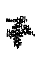 COc1cc(C)[nH]c(=O)c1CNC(=O)c1cc2c(-c3cc(C)nc(C)c3)ccn2c(C(C)N2CCN(C(F)C(F)F)CC2)c1C